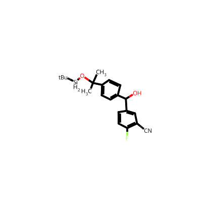 CC(C)(C)[SiH2]OC(C)(C)c1ccc(C(O)c2ccc(F)c(C#N)c2)cc1